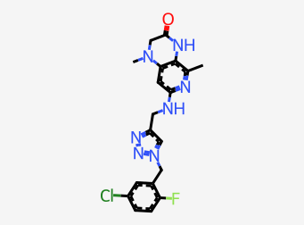 Cc1nc(NCc2cn(Cc3cc(Cl)ccc3F)nn2)cc2c1NC(=O)CN2C